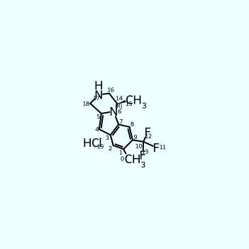 Cc1cc2cc3n(c2cc1C(F)(F)F)[C@H](C)CNC3.Cl